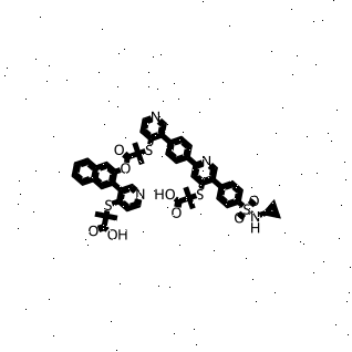 CC(C)(Sc1cc(-c2ccc(-c3cnccc3SC(C)(C)C(=O)Oc3cc4ccccc4cc3-c3cnccc3SC(C)(C)C(=O)O)cc2)ncc1-c1ccc(S(=O)(=O)NC2CC2)cc1)C(=O)O